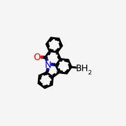 Bc1cc2c3ccccc3c(=O)n3c4ccccc4c(c1)c23